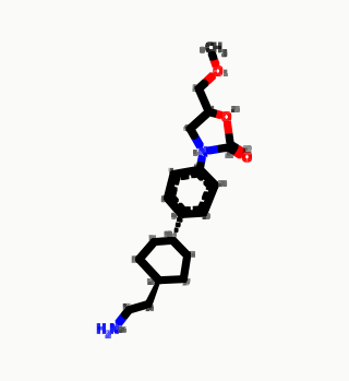 COCC1CN(c2ccc([C@H]3CC[C@H](CCN)CC3)cc2)C(=O)O1